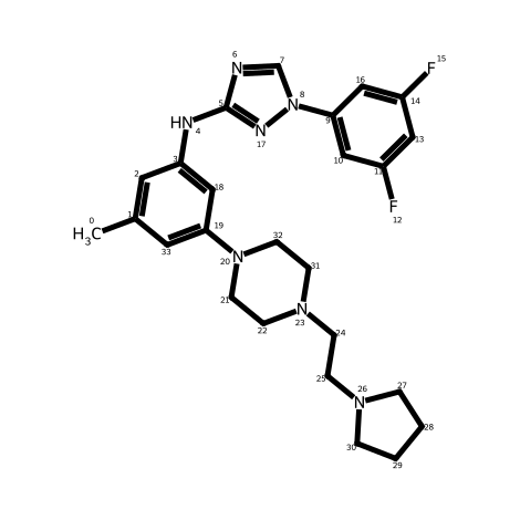 Cc1cc(Nc2ncn(-c3cc(F)cc(F)c3)n2)cc(N2CCN(CCN3CCCC3)CC2)c1